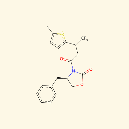 Cc1ccc(C(CC(=O)N2C(=O)OC[C@H]2Cc2ccccc2)C(F)(F)F)s1